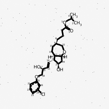 CC(C)OC(=O)CCC[C@@H]1CC[C@@H]2[C@@H](/C=C/[C@H](O)COc3cccc(Cl)c3)[C@H](O)C[C@@H]2OC1